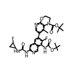 Cc1c(-c2cc3cc(NC(=O)NC4CC4F)ncc3c(NC(=O)OC(C)(C)C)c2F)cnc2c1N(C(=O)OC(C)(C)C)CCO2